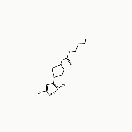 CCCCOC(=O)CN1CCN(c2cc(Cl)nnc2O)CC1